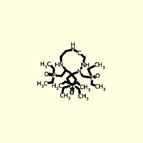 CCP(=O)(CC)CC1NCCNCCNN(CP(=O)(CC)CC)C1(CP(=O)(CC)CC)CP(=O)(CC)CC